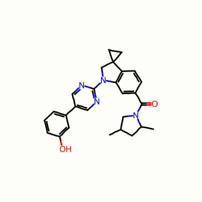 CC1CC(C)N(C(=O)c2ccc3c(c2)N(c2ncc(-c4cccc(O)c4)cn2)CC32CC2)C1